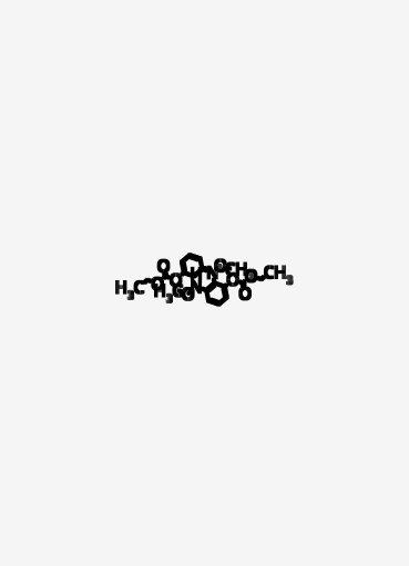 CCOC(=O)OC1=CC=C/C(=[N+](\OC)c2c(NOC)cccc2OC(=O)OCC)C1